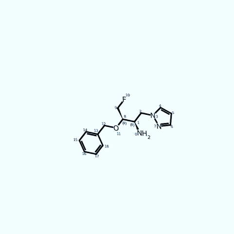 N[C@H](Cn1cccn1)[C@H](CF)OCc1ccccc1